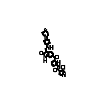 CN1CCN(c2ccc(N/C=C3/C(=O)Nc4cc(C(=O)c5cccc(NC(=O)c6ccncc6Cl)c5)ccc43)cc2)CC1